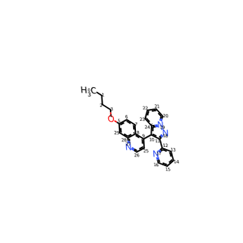 CCCCOc1ccc2c(-c3c(-c4ccccn4)nn4ccccc34)ccnc2c1